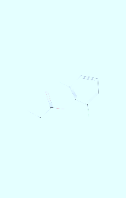 CCC(=O)Oc1c(F)cccc1F